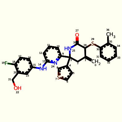 C=C1CC(c2ccsc2)(c2cccc(Nc3ccc(F)c(CO)c3)n2)NC(=O)C1Sc1ccccc1C